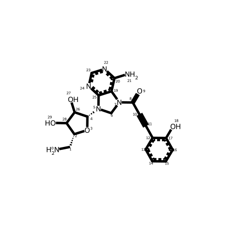 NC[C@H]1O[C@@H](N2CN(C(=O)C#Cc3ccccc3O)c3c(N)ncnc32)C(O)C1O